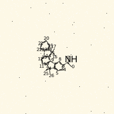 CC(=N)c1ccc2c(c1)-c1c(ccc3c1C(C)(C)c1ccccc1-3)C2(C)C